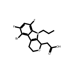 CCCn1c2c(c3c(Br)c(F)cc(F)c31)CCOC2CC(=O)O